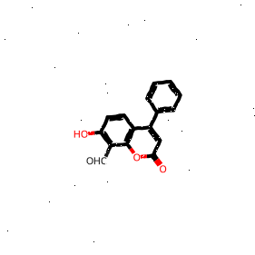 O=Cc1c(O)ccc2c(-c3ccccc3)cc(=O)oc12